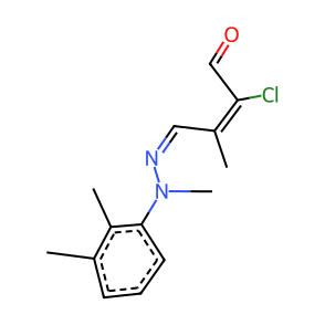 CC(/C=N\N(C)c1cccc(C)c1C)=C(\Cl)C=O